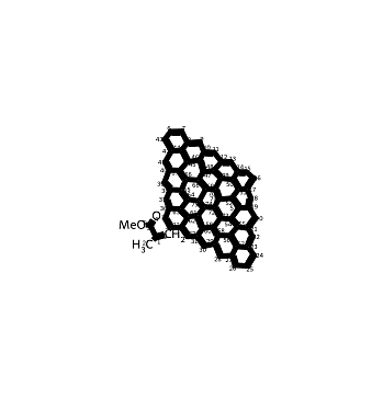 C=C(C)C(=O)OC.c1cc2cc3cc4cc5ccc6cc7cc8cc9cccc%10cc%11cc%12cc%13ccc%14cc%15cc%16cc(c1)c2c1c3c2c4c3c5c6c4c7c5c8c(c9%10)c%11c6c%12c7c%13c%14c8c%15c(c%161)c2c1c3c4c(c56)c7c81